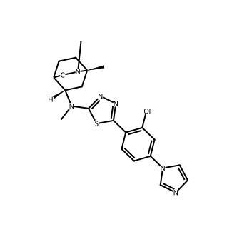 CN(c1nnc(-c2ccc(-n3ccnc3)cc2O)s1)[C@H]1C[C@@]2(C)CCC1CN2C